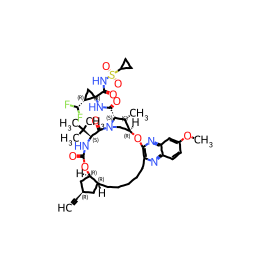 C#C[C@@H]1C[C@H]2CCCCCc3nc4ccc(OC)cc4nc3O[C@H]3CN(C(=O)[C@H](C(C)(C)C)NC(=O)O[C@@H]2C1)[C@H](C(=O)N[C@]1(C(=O)NS(=O)(=O)C2CC2)C[C@H]1C(F)F)[C@@H]3C